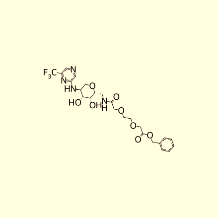 O=C(COCCOCC(=O)OCc1ccccc1)NC[C@H]1OC[C@H](Nc2cncc(C(F)(F)F)n2)[C@@H](O)[C@H]1O